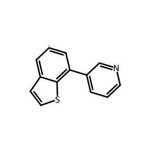 [c]1cc(-c2cccnc2)c2sccc2c1